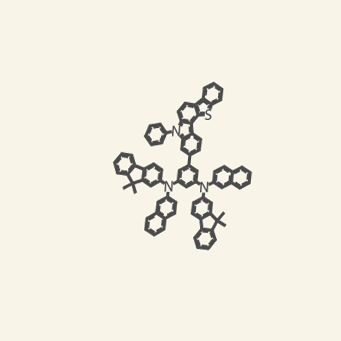 CC1(C)c2ccccc2-c2ccc(N(c3cc(-c4ccc5c6c7sc8ccccc8c7ccc6n(-c6ccccc6)c5c4)cc(N(c4ccc5c(c4)C(C)(C)c4ccccc4-5)c4ccc5ccccc5c4)c3)c3ccc4ccccc4c3)cc21